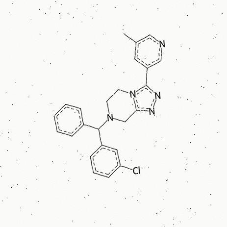 Cc1cncc(-c2nnc3n2CCN(C(c2ccccc2)c2cccc(Cl)c2)C3)c1